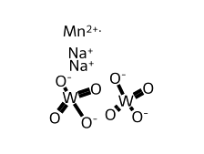 [Mn+2].[Na+].[Na+].[O]=[W](=[O])([O-])[O-].[O]=[W](=[O])([O-])[O-]